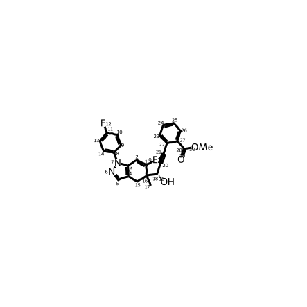 CCC1=Cc2c(cnn2-c2ccc(F)cc2)CC1(C)[C@@H](O)C#Cc1ccccc1C(=O)OC